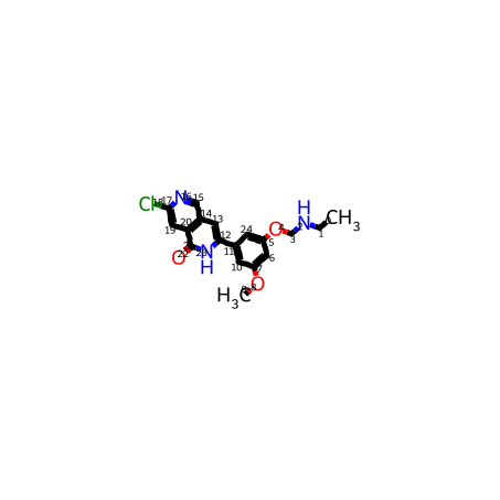 CCNCOc1cc(OC)cc(-c2cc3cnc(Cl)cc3c(=O)[nH]2)c1